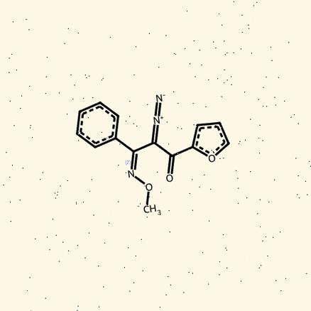 CO/N=C(\C(=[N+]=[N-])C(=O)c1ccco1)c1ccccc1